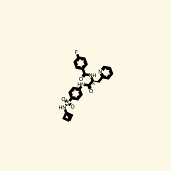 O=C(N[C@@H](Cc1ccccn1)C(=O)Nc1ccc(S(=O)(=O)NC23CC(C2)C3)cc1)c1ccc(F)cc1